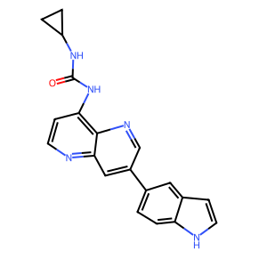 O=C(Nc1ccnc2cc(-c3ccc4[nH]ccc4c3)cnc12)NC1CC1